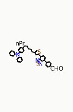 CCCC(CCCCc1csc(-c2ccc(-c3ccc(C=O)cc3)c3nsnc23)c1)c1ccc(N(c2ccccc2)c2ccccc2)cc1